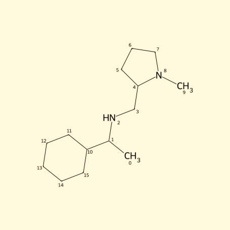 CC(NCC1CCCN1C)C1CCCCC1